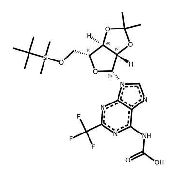 CC1(C)O[C@H]2[C@H](O1)[C@@H](CO[Si](C)(C)C(C)(C)C)O[C@H]2n1cnc2c(NC(=O)O)nc(C(F)(F)F)nc21